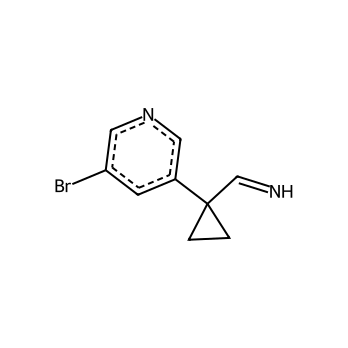 N=CC1(c2cncc(Br)c2)CC1